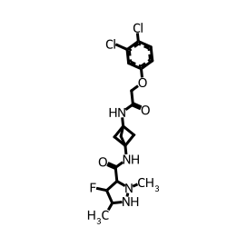 CC1NN(C)C(C(=O)NC23CC(NC(=O)COc4ccc(Cl)c(Cl)c4)(C2)C3)C1F